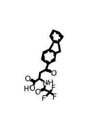 O=C(CC(NC(=O)C(F)(F)F)C(=O)O)c1ccc2c(c1)Cc1ccccc1-2